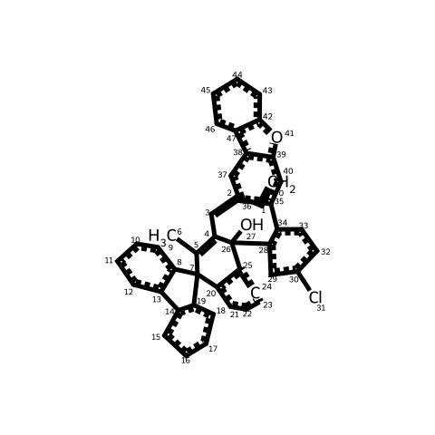 C=C/C=C\C1=C(C)C2(c3ccccc3-c3ccccc32)c2ccccc2C1(O)c1cc(Cl)ccc1-c1ccc2c(c1)oc1ccccc12